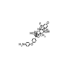 C[C@]12C=CC(=O)C=C1[C@@H](F)C[C@H]1C3C[C@H]4O[C@@H](c5ccc(Oc6ccc(N)cc6)cc5)O[C@@]4(C(=O)CO)[C@@]3(C)C[C@H](O)[C@@]12F